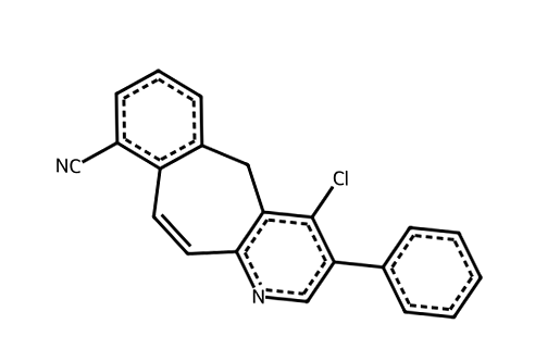 N#Cc1cccc2c1C=Cc1ncc(-c3ccccc3)c(Cl)c1C2